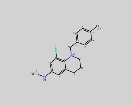 O=CNc1cc(Cl)c2c(c1)CCCN2Cc1ccc(C(F)(F)F)cc1